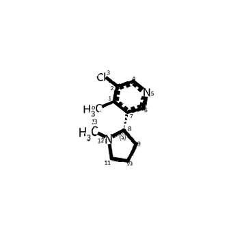 Cc1c(Cl)cncc1[C@@H]1CCCN1C